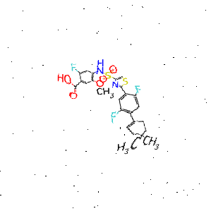 COc1cc(C(=O)O)c(F)cc1NS(=O)(=O)c1csc(-c2cc(F)c(C3=CCC(C)(C)CC3)cc2F)n1